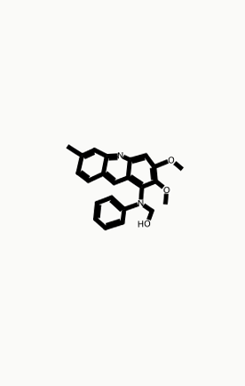 COc1cc2nc3cc(C)ccc3cc2c(N(CO)c2ccccc2)c1OC